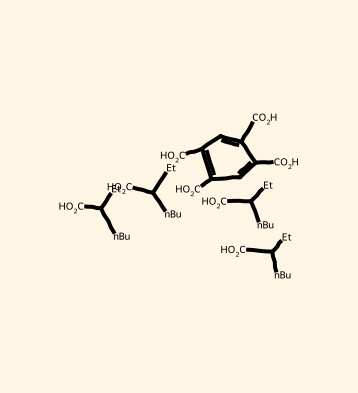 CCCCC(CC)C(=O)O.CCCCC(CC)C(=O)O.CCCCC(CC)C(=O)O.CCCCC(CC)C(=O)O.O=C(O)c1cc(C(=O)O)c(C(=O)O)cc1C(=O)O